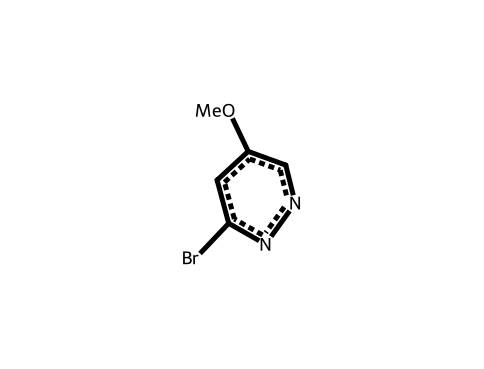 COc1cnnc(Br)c1